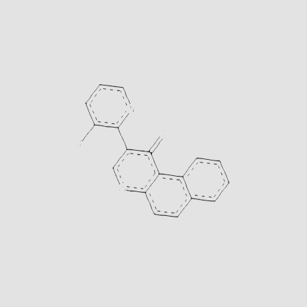 O=c1c(-c2ncccc2Cl)coc2ccc3ccccc3c12